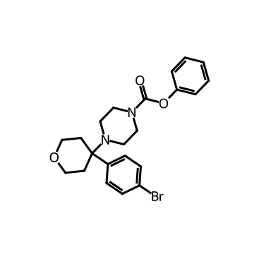 O=C(Oc1ccccc1)N1CCN(C2(c3ccc(Br)cc3)CCOCC2)CC1